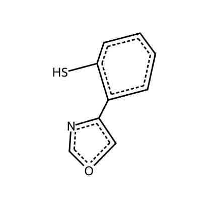 Sc1ccccc1-c1cocn1